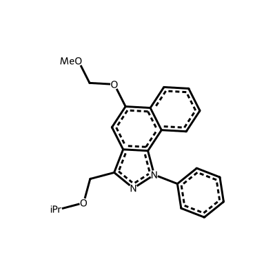 COCOc1cc2c(COC(C)C)nn(-c3ccccc3)c2c2ccccc12